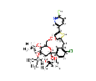 C[Si](C)(C)OC1[C@H](O[Si](C)(C)C)C(CO)OC(O)(c2ccc(Cl)c(Cc3ccc(-c4ccc(F)nc4)s3)c2)[C@@H]1O[Si](C)(C)C